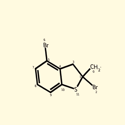 [CH2]C1(Br)Cc2c(Br)cccc2S1